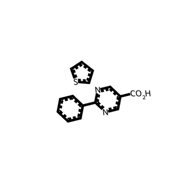 O=C(O)c1cnc(-c2ccccc2)nc1.c1ccsc1